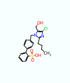 CCCCc1nc(Cl)c(CO)n1Cc1ccc(-c2ccccc2S(=O)(=O)O)cc1